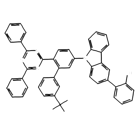 Cc1ccccc1-c1ccc2c(c1)c1ccccc1n2-c1ccc(-c2nc(-c3ccccc3)nc(-c3ccccc3)n2)c(-c2cccc(C(F)(F)F)c2)c1